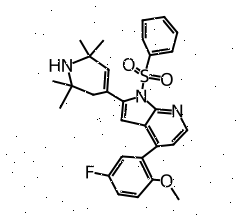 COc1ccc(F)cc1-c1ccnc2c1cc(C1=CC(C)(C)NC(C)(C)C1)n2S(=O)(=O)c1ccccc1